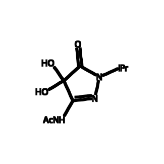 CC(=O)NC1=NN(C(C)C)C(=O)C1(O)O